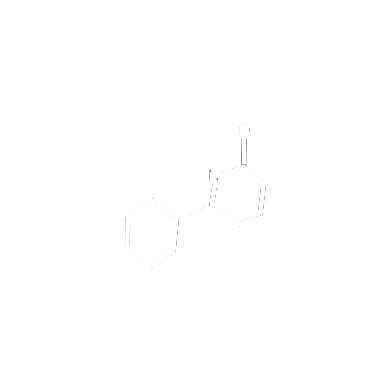 O=c1ccsc(-c2ccccc2)n1